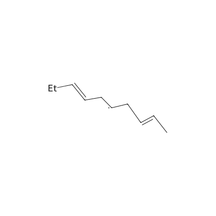 CC=CC[CH]CC=CCC